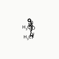 CC(CCCCOC(=O)c1sc(Oc2ccccc2)nc1C)=C(F)F